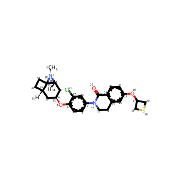 C[N@]1[C@@H]2C[C@@H](Oc3ccc(N4CCc5cc(OC6CSC6)ccc5C4=O)cc3Cl)C[C@H]3CCC321